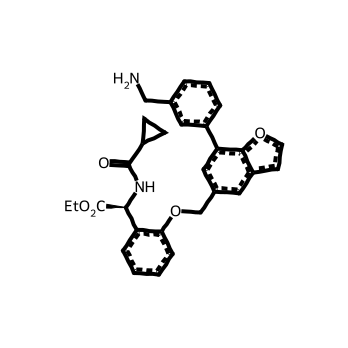 CCOC(=O)[C@@H](NC(=O)C1CC1)c1ccccc1OCc1cc(-c2cccc(CN)c2)c2occc2c1